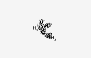 COc1c(Nc2ccncc2)nc(N2CCOCC2)nc1-c1cccc(N2CCN(C)C(=O)C2)c1